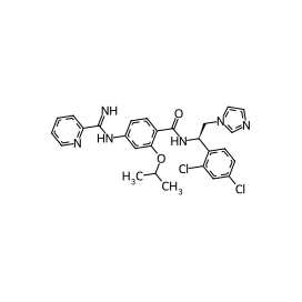 CC(C)Oc1cc(NC(=N)c2ccccn2)ccc1C(=O)N[C@@H](Cn1ccnc1)c1ccc(Cl)cc1Cl